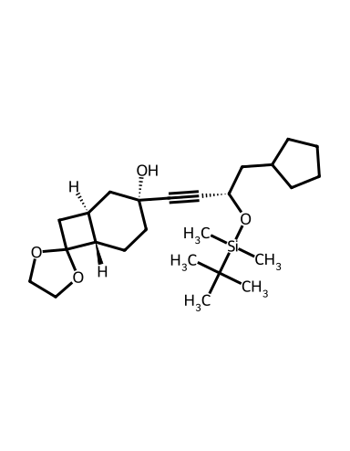 CC(C)(C)[Si](C)(C)O[C@H](C#C[C@@]1(O)CC[C@H]2[C@@H](CC23OCCO3)C1)CC1CCCC1